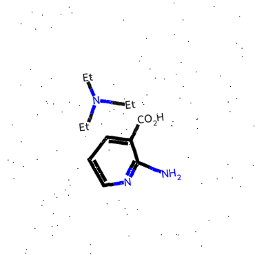 CCN(CC)CC.Nc1ncccc1C(=O)O